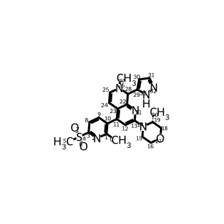 Cc1nc(S(C)(=O)=O)ccc1-c1cc(N2CCOC[C@H]2C)nc2c1C=CN(C)C2c1ccn[nH]1